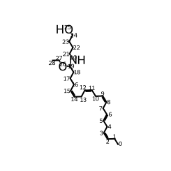 CC/C=C\CC=CC/C=C\C/C=C\C/C=C\CCCC(NCCCCO)OCC